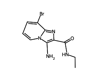 CCNC(=O)c1nc2c(Br)cccn2c1N